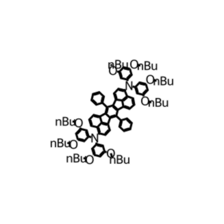 CCCCOc1cc(OCCCC)cc(N(c2cc(OCCCC)cc(OCCCC)c2)c2ccc3c4c(-c5ccccc5)c5c6cccc7c(N(c8cc(OCCCC)cc(OCCCC)c8)c8cc(OCCCC)cc(OCCCC)c8)ccc(c5c(-c5ccccc5)c4c4cccc2c43)c76)c1